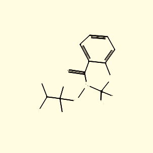 CCC1(CC)Oc2ccccc2C(=O)N1SC(Cl)(Cl)C(Cl)Cl